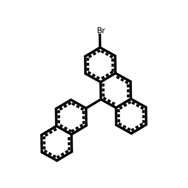 Brc1ccc2c(-c3ccc4ccccc4c3)c3ccccc3cc2c1